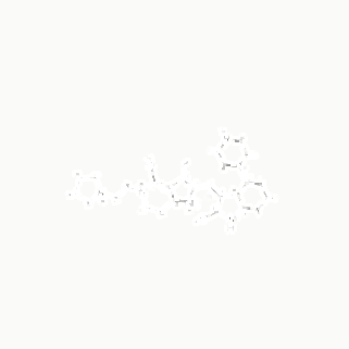 Cc1c(/C=C2\C(=O)Nc3cccc(-c4ccncc4)c32)[nH]c2c1C(=O)N(CCN1CCCC1)CC2